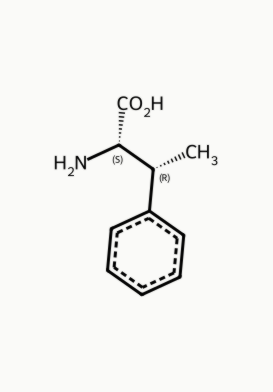 C[C@H](c1ccccc1)[C@H](N)C(=O)O